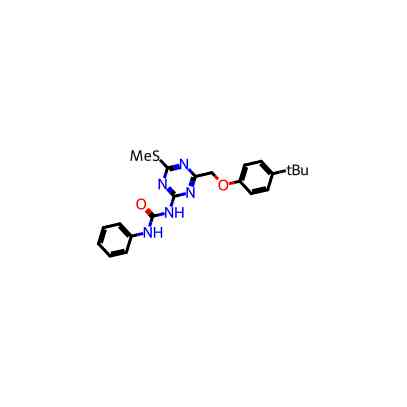 CSc1nc(COc2ccc(C(C)(C)C)cc2)nc(NC(=O)Nc2ccccc2)n1